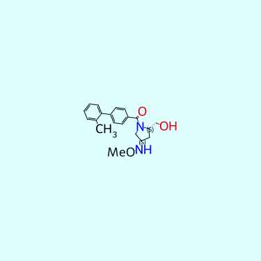 CON[C@H]1C[C@@H](CO)N(C(=O)c2ccc(-c3ccccc3C)cc2)C1